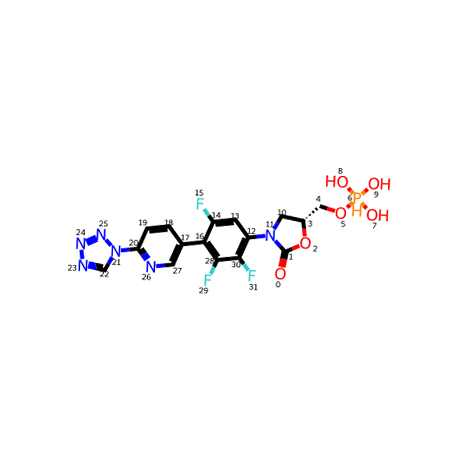 O=C1O[C@@H](CO[PH](O)(O)O)CN1c1cc(F)c(-c2ccc(-n3cnnn3)nc2)c(F)c1F